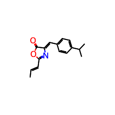 C/C=C/C1=NC(=C\c2ccc(C(C)C)cc2)/C(=O)O1